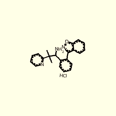 CC(C)(c1ccccn1)C(N)c1ccccc1-c1noc2ccccc12.Cl